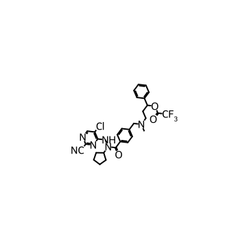 CN(CCC(OC(=O)C(F)(F)F)c1ccccc1)Cc1ccc(C(=O)N(Nc2nc(C#N)ncc2Cl)C2CCCC2)cc1